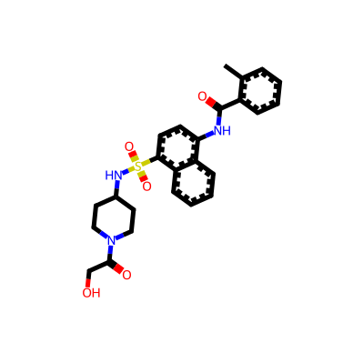 Cc1ccccc1C(=O)Nc1ccc(S(=O)(=O)NC2CCN(C(=O)CO)CC2)c2ccccc12